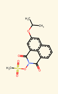 CC(C)Oc1cc2c3c(cccc3c1)C(=O)N(OS(C)(=O)=O)C2=O